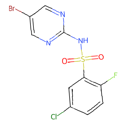 O=S(=O)(Nc1ncc(Br)cn1)c1cc(Cl)ccc1F